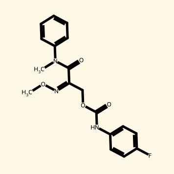 CON=C(COC(=O)Nc1ccc(F)cc1)C(=O)N(C)c1ccccc1